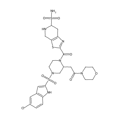 NS(=O)(=O)C1Cc2nc(C(=O)N3CCN(S(=O)(=O)c4cc5cc(Cl)ccc5[nH]4)CC3CC(=O)N3CCOCC3)sc2CN1